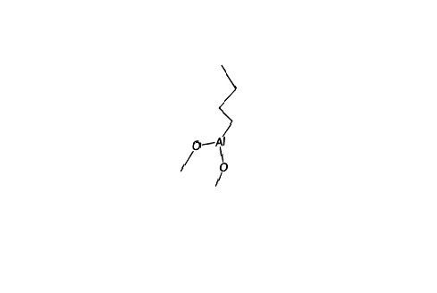 CCC[CH2][Al]([O]C)[O]C